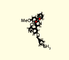 COc1ccc(CN2C3CC2CN(c2ccc(-c4cc(OCC5C6CN(C)CC56)cn5ncc(C#N)c45)cn2)C3)cn1